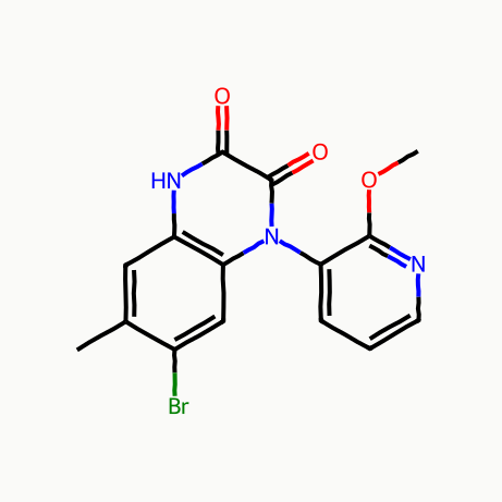 COc1ncccc1-n1c(=O)c(=O)[nH]c2cc(C)c(Br)cc21